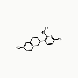 CCNc1cc(O)ccc1C1CCc2cc(O)ccc2C1